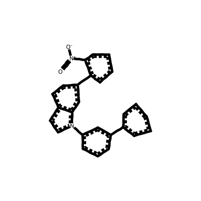 O=[N+]([O-])c1ccccc1-c1ccc2ccn(-c3cccc(-c4ccccc4)c3)c2c1